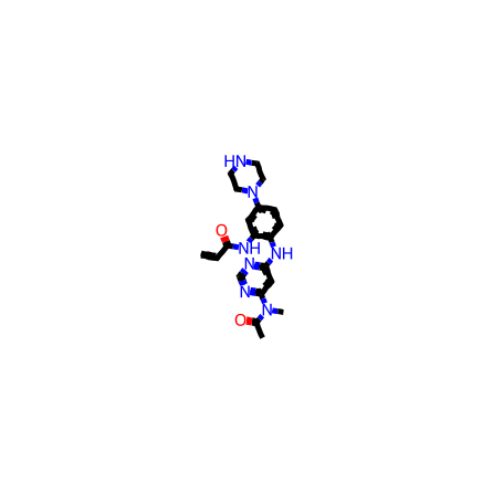 C=CC(=O)Nc1cc(N2CCNCC2)ccc1Nc1cc(N(C)C(C)=O)ncn1